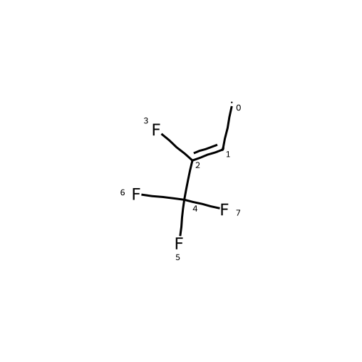 [CH2]/C=C(\F)C(F)(F)F